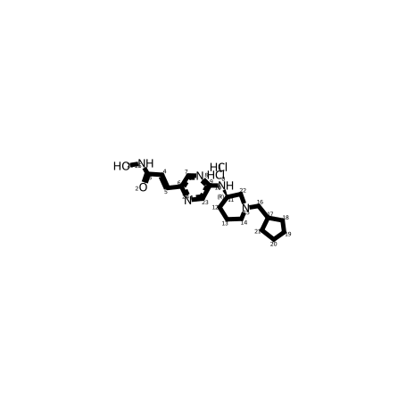 Cl.Cl.O=C(C=Cc1cnc(N[C@@H]2CCCN(CC3CCCC3)C2)cn1)NO